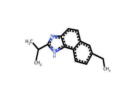 CCc1ccc2c(ccc3nc(C(C)C)[nH]c32)c1